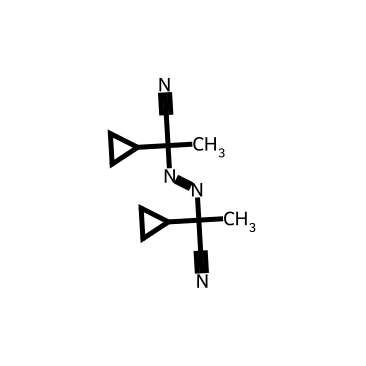 CC(C#N)(N=NC(C)(C#N)C1CC1)C1CC1